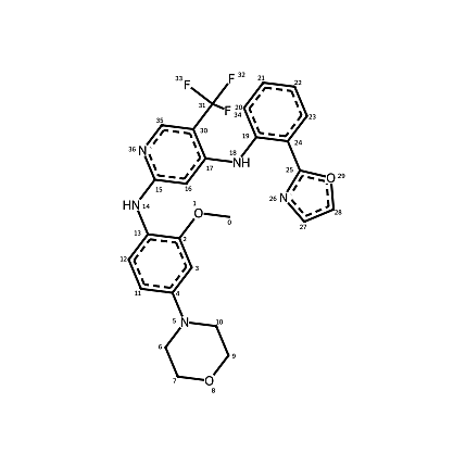 COc1cc(N2CCOCC2)ccc1Nc1cc(Nc2ccccc2-c2ncco2)c(C(F)(F)F)cn1